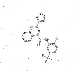 O=C(Nc1cc(C(F)(F)F)ccc1Cl)c1cc(-c2ccco2)nc2ccccc12